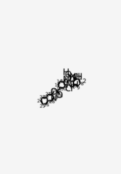 NC(=O)C1(c2c(Cl)cccc2Cl)Nc2ccc(C(=O)Oc3cc4ccccc4cn3)cc2N1